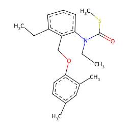 CCc1cccc(N(CC)C(=O)SC)c1COc1ccc(C)cc1C